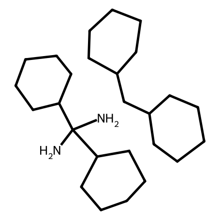 C1CCC(CC2CCCCC2)CC1.NC(N)(C1CCCCC1)C1CCCCC1